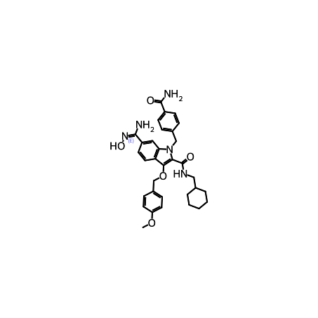 COc1ccc(COc2c(C(=O)NCC3CCCCC3)n(Cc3ccc(C(N)=O)cc3)c3cc(/C(N)=N\O)ccc23)cc1